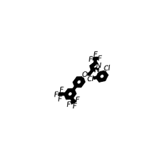 FC(F)(F)c1cc(-c2ccc(OCc3cc(C(F)(F)F)nn3-c3c(Cl)cccc3Cl)cc2)cc(C(F)(F)F)c1